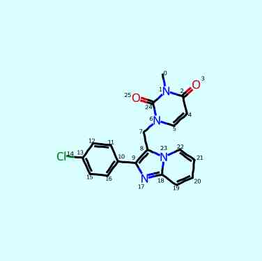 Cn1c(=O)ccn(Cc2c(-c3ccc(Cl)cc3)nc3ccccn23)c1=O